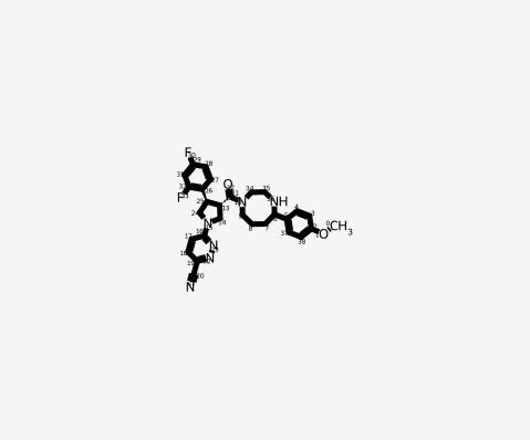 COc1ccc(C2CCCN(C(=O)[C@@H]3CN(c4ccc(C#N)nn4)C[C@H]3c3ccc(F)cc3F)CCN2)cc1